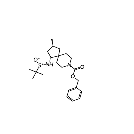 C[C@@H]1C[C@@H](N[S@+]([O-])C(C)(C)C)C2(CCN(C(=O)OCc3ccccc3)CC2)C1